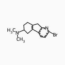 CN(C)C1CCC2=C(C1)c1ccc(Br)nc1C2